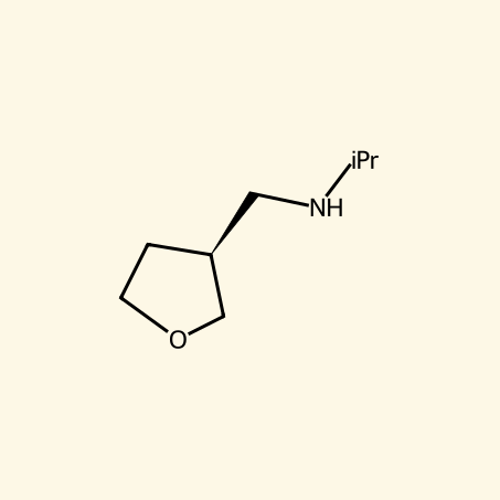 CC(C)NC[C@@H]1CCOC1